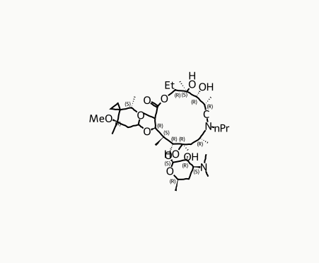 CCCN1C[C@@H](C)[C@@H](O)[C@](C)(O)[C@@H](CC)OC(=O)C(C)[C@H](OC2C[C@@](C)(OC)C3(CC3)[C@H](C)O2)[C@H](C)[C@@H](O[C@@H]2O[C@H](C)C[C@H](N(C)C)[C@H]2O)[C@](C)(O)C[C@H]1C